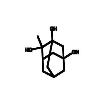 CC1(O)C2CC3CC(O)(C2)CC1(O)C3